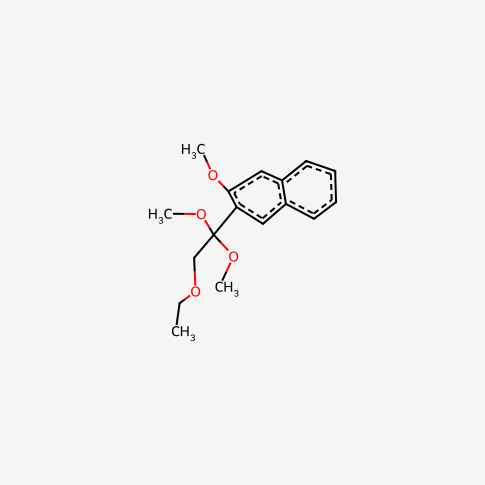 CCOCC(OC)(OC)c1cc2ccccc2cc1OC